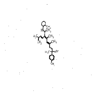 C=C(C)/C=C/C(=C(C)\C=C(/C)CCC(C)(CCC)c1ccc(C)cc1)C(C)NC1=C(C)CCCC1